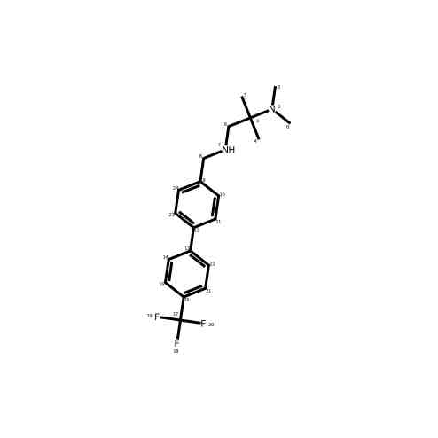 CN(C)C(C)(C)CNCc1ccc(-c2ccc(C(F)(F)F)cc2)cc1